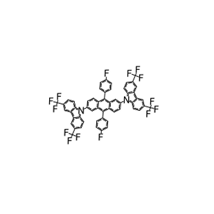 Fc1ccc(-c2c3ccc(-n4c5ccc(C(F)(F)F)cc5c5cc(C(F)(F)F)ccc54)cc3c(-c3ccc(F)cc3)c3ccc(-n4c5ccc(C(F)(F)F)cc5c5cc(C(F)(F)F)ccc54)cc23)cc1